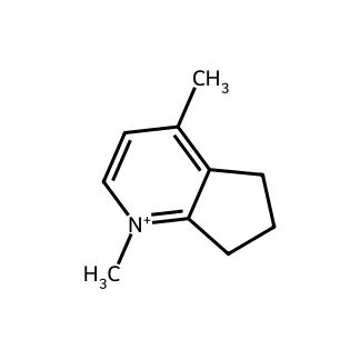 Cc1cc[n+](C)c2c1CCC2